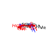 COc1ccc2c(c1)C(=O)NC(c1ccc(OCCCCCCCCCCOc3c(OC)cc(-c4cc(-c5cc(CO)c(CO)c(CO)c5)on4)cc3OC)c(CO)c1)N2